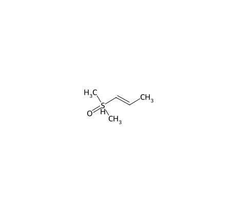 C/C=C/[SH](C)(C)=O